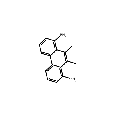 Bc1cccc2c1c(C)c(C)c1c(B)cccc12